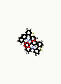 c1ccc(N(c2cccc3ccccc23)c2cccc3sc4ccccc4c23)c(-c2ccccc2N(c2cccc3ccccc23)c2cccc3sc4ccccc4c23)c1